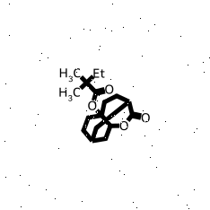 CCC(C)(C)C(=O)OC12CCC3CC(CC1)C(=O)OC2C3